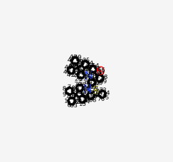 c1ccc(C2(c3ccccc3)c3ccccc3-c3c(N(c4cccc(N(c5cccc6c5-c5ccccc5C6(c5ccccc5)c5ccccc5)c5cccc6oc7ccccc7c56)c4)c4cccc5c4sc4ccccc45)cccc32)cc1